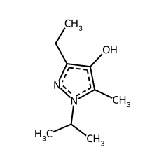 CCc1nn(C(C)C)c(C)c1O